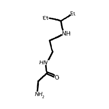 CCC(CC)NCCNC(=O)CN